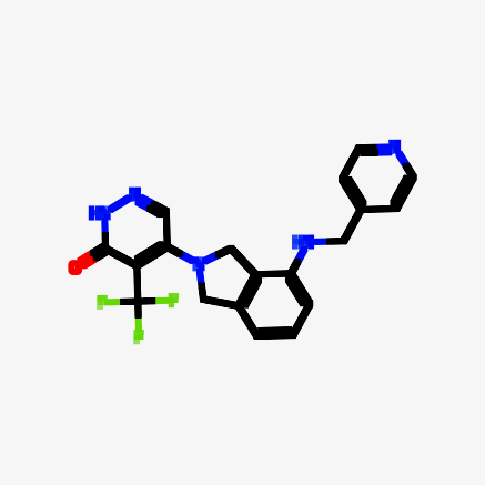 O=c1[nH]ncc(N2Cc3cccc(NCc4ccncc4)c3C2)c1C(F)(F)F